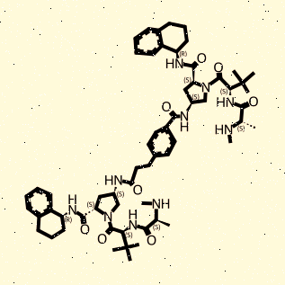 CN[C@@H](C)C(=O)N[C@H](C(=O)N1C[C@@H](NC(=O)CCc2ccc(C(=O)N[C@H]3C[C@@H](C(=O)N[C@@H]4CCCc5ccccc54)N(C(=O)[C@@H](NC(=O)[C@H](C)NC)C(C)(C)C)C3)cc2)C[C@H]1C(=O)N[C@@H]1CCCc2ccccc21)C(C)(C)C